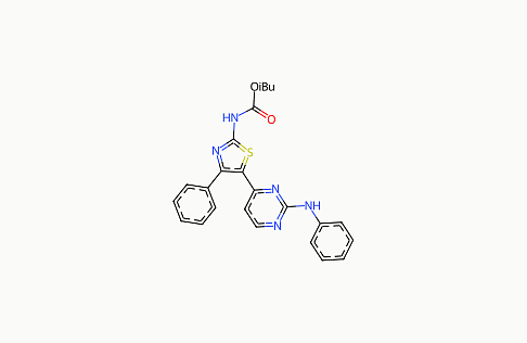 CC(C)COC(=O)Nc1nc(-c2ccccc2)c(-c2ccnc(Nc3ccccc3)n2)s1